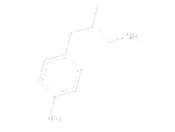 CC(=CN)Cc1ccc(C(C)(C)C)cc1